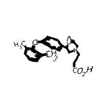 Cc1cccc(C)c1Oc1ccc(C2CN(CCC(=O)O)CCO2)cc1